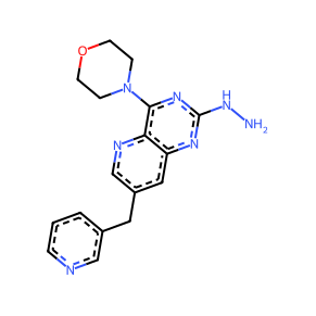 NNc1nc(N2CCOCC2)c2ncc(Cc3cccnc3)cc2n1